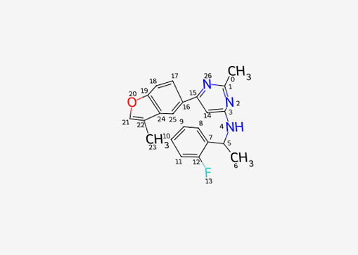 Cc1nc(NC(C)c2ccccc2F)cc(-c2ccc3occ(C)c3c2)n1